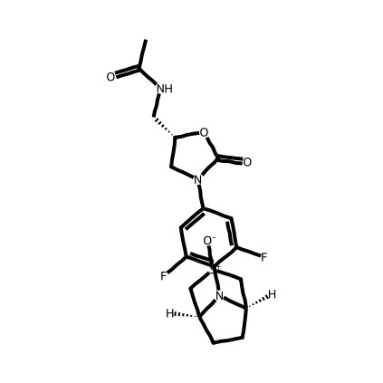 CC(=O)NC[C@H]1CN(c2cc(F)c(N3[C@@H]4CC[C@H]3C[S+]([O-])C4)c(F)c2)C(=O)O1